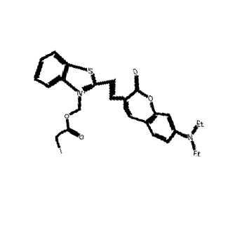 CCN(CC)c1ccc2cc(/C=C/c3sc4ccccc4[n+]3COC(=O)CI)c(=O)oc2c1